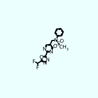 CS(=O)(=O)N(Cc1cnc(-c2nnc(C(F)F)o2)nc1)c1ccccc1